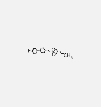 CCCC[C@H]1CO[C@H](CC[C@H]2CC[C@H](C3CC=C(F)CC3)CC2)OC1